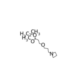 CC(C)(C)OC(=O)CCOCCCN1CCC1